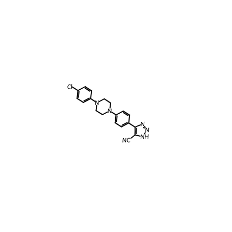 N#Cc1[nH]nnc1-c1ccc(N2CCN(c3ccc(Cl)cc3)CC2)cc1